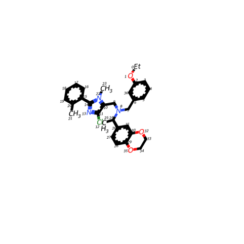 CCOc1cccc(CN(Cc2c(Cl)nc(-c3ccccc3C)n2C)C(C)c2ccc3c(c2)OCCO3)c1